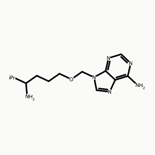 CC(C)C(N)CCCOCn1cnc2c(N)ncnc21